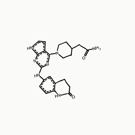 NC(=O)CC1CCN(c2nc(Nc3ccc4c(c3)CCC(=O)N4)nc3[nH]ccc23)CC1